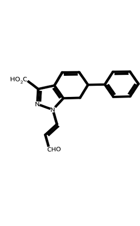 O=CC=Cn1nc(C(=O)O)c2c1CC(c1ccccc1)C=C2